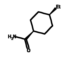 CC[C@H]1CC[C@@H](C(N)=O)CC1